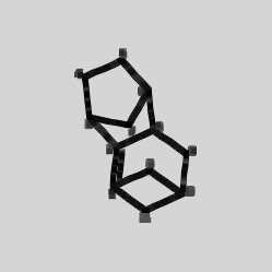 C1C2=C3C4CCC(C4)C3CC1C2